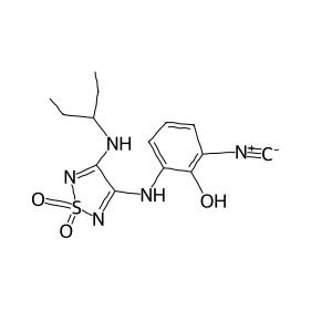 [C-]#[N+]c1cccc(NC2=NS(=O)(=O)N=C2NC(CC)CC)c1O